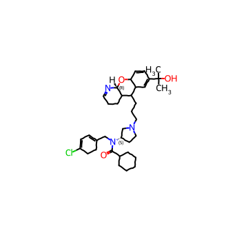 CC(C)(O)C1=CC2C(C=C1)O[C@H]1N=CCCC1C2CCCN1CC[C@H](N(CC2=CC=C(Cl)CC2)C(=O)C2CCCCC2)C1